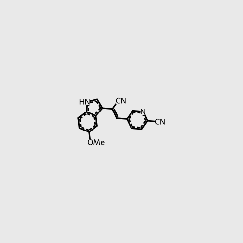 COc1ccc2[nH]cc(C(C#N)=Cc3ccc(C#N)nc3)c2c1